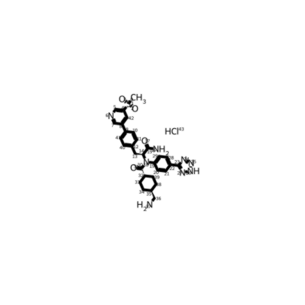 CS(=O)(=O)c1cncc(-c2ccc(C[C@@H](C(N)=O)N(c3ccc(-c4nn[nH]n4)cc3)C(=O)[C@H]3CC[C@H](CN)CC3)cc2)c1.Cl